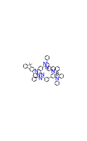 CC1(C)c2ccccc2-c2cc3c4ccccc4n(-c4ccc(-c5nc(-c6ccccc6)cc(-c6ccccc6)n5)cc4-c4nc(-c5ccccc5)nc(-c5cccc(-c6cc7c8c(c6)N(c6ccccc6)c6ccccc6B8c6ccccc6N7c6ccccc6)c5)n4)c3cc21